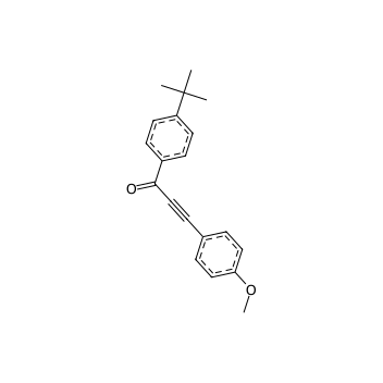 COc1ccc(C#CC(=O)c2ccc(C(C)(C)C)cc2)cc1